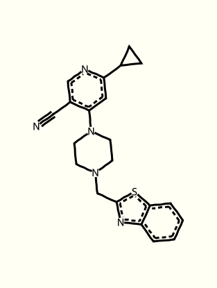 N#Cc1cnc(C2CC2)cc1N1CCN(Cc2nc3ccccc3s2)CC1